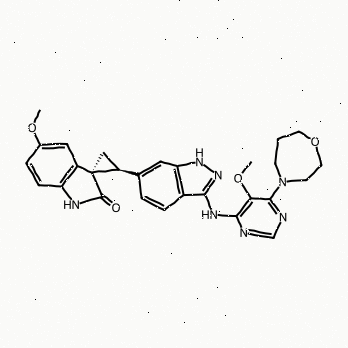 COc1ccc2c(c1)[C@]1(C[C@H]1c1ccc3c(Nc4ncnc(N5CCCOCC5)c4OC)n[nH]c3c1)C(=O)N2